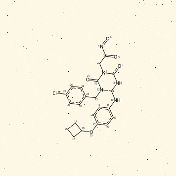 O=NC(=O)CN1C(=O)NC(Nc2ccc(OC3CCC3)cc2)N(Cc2ccc(Cl)cc2)C1=O